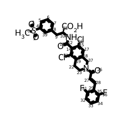 CS(=O)(=O)c1cccc(C[C@H](NC(=O)c2c(Cl)cc3c(c2Cl)CCN(C(=O)/C=C/c2c(F)cccc2F)C3)C(=O)O)c1